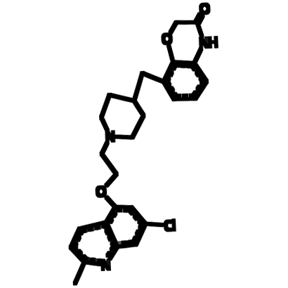 Cc1ccc2c(OCCN3CCC(Cc4cccc5c4OCC(=O)N5)CC3)cc(Cl)cc2n1